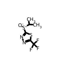 CC(C)[S+]([O-])c1nnc(C(F)(F)F)s1